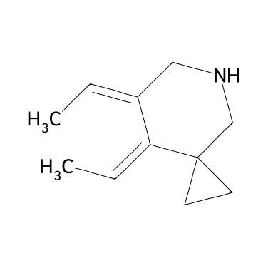 C/C=C1\C(=C/C)CNCC12CC2